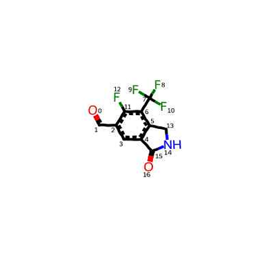 O=Cc1cc2c(c(C(F)(F)F)c1F)CNC2=O